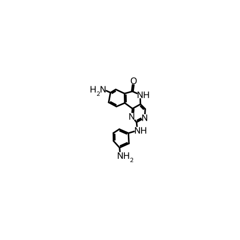 Nc1cccc(Nc2ncc3[nH]c(=O)c4cc(N)ccc4c3n2)c1